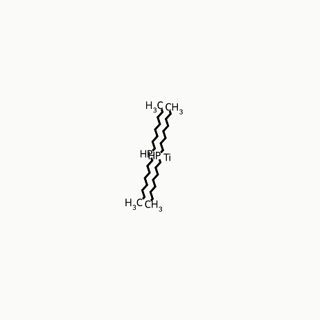 CCCCCCCCPCCCCCCCC.CCCCCCCCPCCCCCCCC.[Ti]